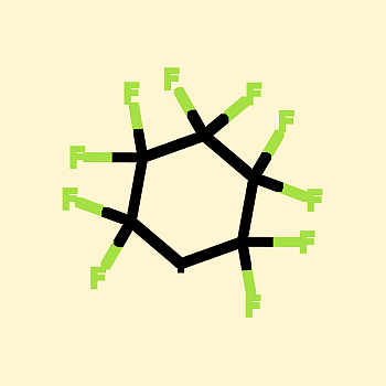 FC1(F)[CH]C(F)(F)C(F)(F)C(F)(F)C1(F)F